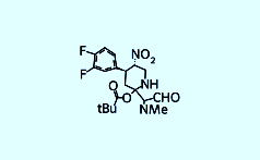 CNC(C=O)C1(OC(=O)C(C)(C)C)C[C@@H](c2ccc(F)c(F)c2)[C@H]([N+](=O)[O-])CN1